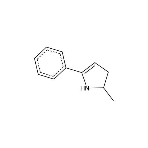 CC1CC=C(c2ccccc2)N1